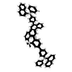 C[Si]1(C)c2cc(-c3ccc(N(c4ccccc4)c4cccc5ccccc45)cc3)ccc2-c2cc3c4ccccc4c(-c4ccc(N(c5ccccc5)c5cccc6ccccc56)cc4)cc3c3cccc1c23